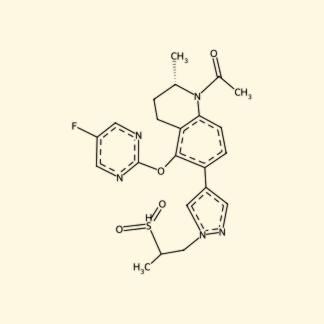 CC(=O)N1c2ccc(-c3cnn(CC(C)[SH](=O)=O)c3)c(Oc3ncc(F)cn3)c2CC[C@@H]1C